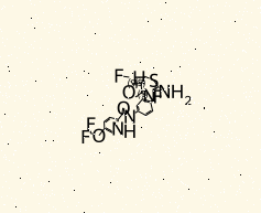 NC1=N[C@@]2(c3cc(NC(=O)c4ccc(OC(F)F)cn4)ccc3F)CO[C@H](CF)[C@H]2CS1